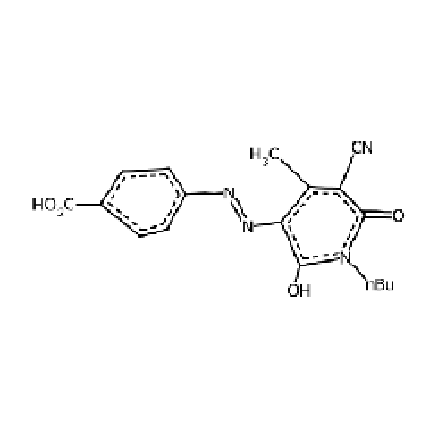 CCCCn1c(O)c(N=Nc2ccc(C(=O)O)cc2)c(C)c(C#N)c1=O